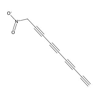 C#CC#CC#CC#CC[N+](=O)[O-]